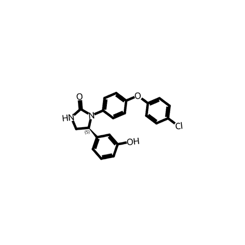 O=C1NC[C@H](c2cccc(O)c2)N1c1ccc(Oc2ccc(Cl)cc2)cc1